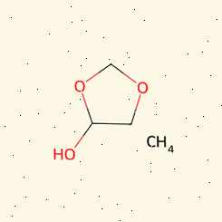 C.OC1COCO1